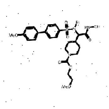 CCN(C(C(=O)NO)C1CCN(C(=O)OCCOC)CC1)S(=O)(=O)c1ccc(-c2ccc(OC)cc2)cc1